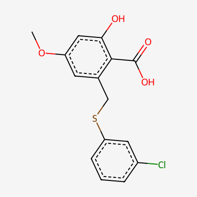 COc1cc(O)c(C(=O)O)c(CSc2cccc(Cl)c2)c1